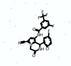 N#Cc1cc(NC(=O)c2cc(F)cc(C(F)(F)F)c2)c2n1CC(=O)NC2c1cc(F)ccc1Cl